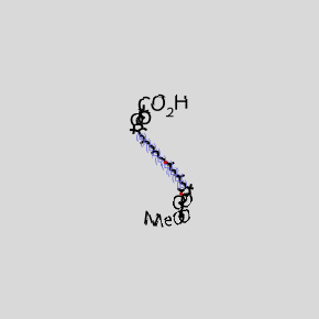 COC(=O)CCC(=O)OC1CC(C)=C(/C=C/C(C)=C/C=C/C(C)=C/C=C/C=C(C)/C=C/C=C(C)/C=C/C2=C(C)CC(OC(=O)CCC(=O)O)CC2(C)C)C(C)(C)C1